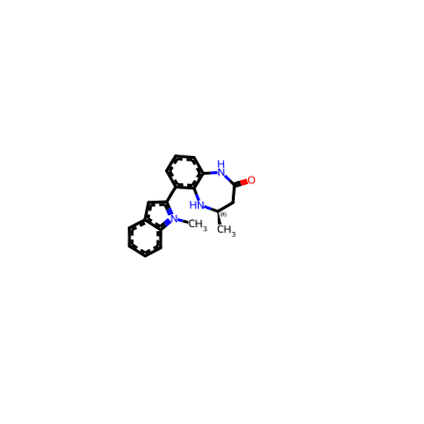 C[C@@H]1CC(=O)Nc2cccc(-c3cc4ccccc4n3C)c2N1